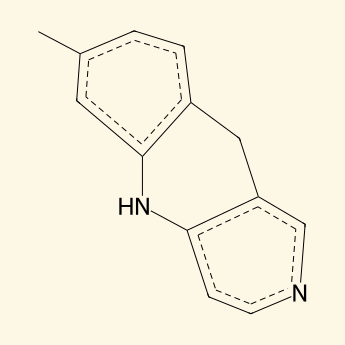 Cc1ccc2c(c1)Nc1ccncc1C2